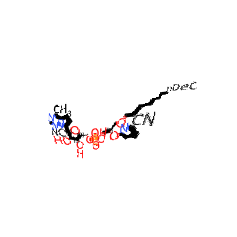 CCCCCCCCCCCCCCCCCCOC[C@H](COP(=O)(O)OC[C@H]1O[C@@](C#N)(c2ccc3c(C)ncnn23)[C@H](O)[C@@H]1O)Oc1cccc(C#N)n1